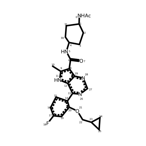 CC(=O)NC1CCC(NC(=O)c2c(C)[nH]c3c(-c4ccc(F)cc4OCC4CC4)ncnc23)CC1